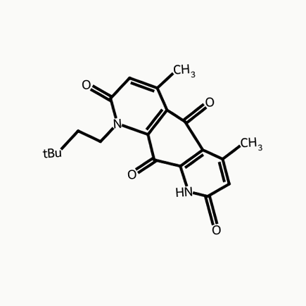 Cc1cc(=O)[nH]c2c1C(=O)c1c(C)cc(=O)n(CCC(C)(C)C)c1C2=O